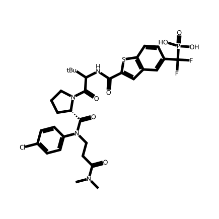 CN(C)C(=O)CCN(C(=O)[C@@H]1CCCN1C(=O)C(NC(=O)c1cc2cc(C(F)(F)P(=O)(O)O)ccc2s1)C(C)(C)C)c1ccc(Cl)cc1